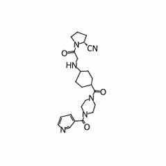 N#C[C@@H]1CCCN1C(=O)CNC1CCC(C(=O)N2CCN(C(=O)c3cccnc3)CC2)CC1